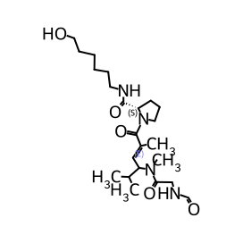 C/C(=C\C(C(C)C)N(C)C(=O)CNC=O)C(=O)N1CCC[C@H]1C(=O)NCCCCCCO